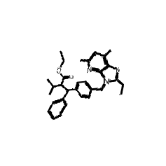 CCOC(=O)C(C(C)C)C(c1ccccc1)c1ccc(Cn2c(CC)nc3c(C)cc(C)nc32)cc1